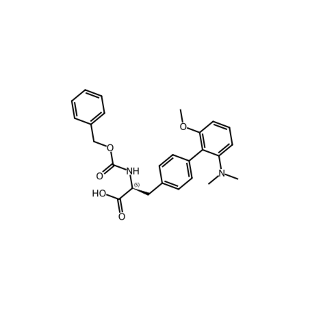 COc1cccc(N(C)C)c1-c1ccc(C[C@H](NC(=O)OCc2ccccc2)C(=O)O)cc1